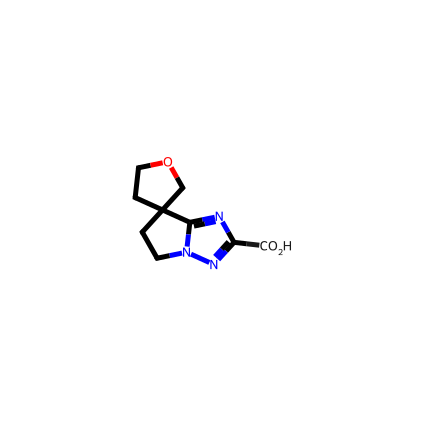 O=C(O)c1nc2n(n1)CCC21CCOC1